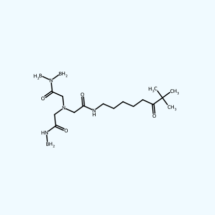 BNC(=O)CN(CC(=O)NCCCCCC(=O)C(C)(C)C)CC(=O)N(B)B